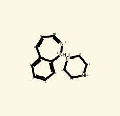 C1=Cc2ccccc2NN=C1.C1COCCN1